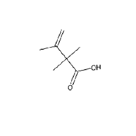 C=C(C)C(C)(C)C(=O)O